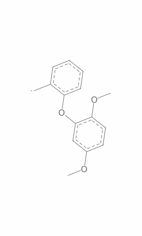 [CH2]c1ccccc1Oc1cc(OC)ccc1OC